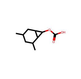 CC1CC(C)C2C(C1)C2OC(=O)O